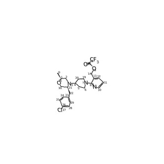 C[C@H]1CN(C2CCN(c3ncccc3COC(=O)C(F)(F)F)CC2)[C@@H](Cc2ccc(Cl)cc2)CO1